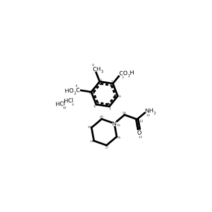 Cc1c(C(=O)O)cccc1C(=O)O.Cl.Cl.NC(=O)CN1CCCCC1